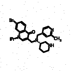 Cc1cc(CN(Cc2cn(C(C)C)c3cc(Br)ccc3c2=O)[C@H]2CCCNC2)ccn1